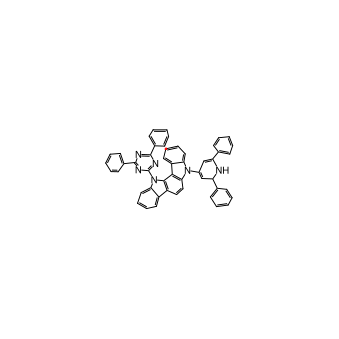 C1=C(c2ccccc2)NC(c2ccccc2)C=C1n1c2ccccc2c2c1ccc1c3ccccc3n(-c3nc(-c4ccccc4)nc(-c4ccccc4)n3)c12